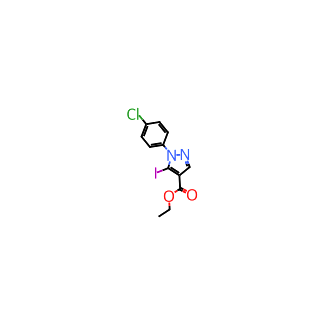 CCOC(=O)c1cnn(-c2ccc(Cl)cc2)c1I